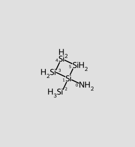 N[Si]1([SiH3])[SiH2][SiH2][SiH2]1